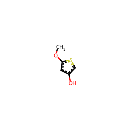 COc1cc(O)cs1